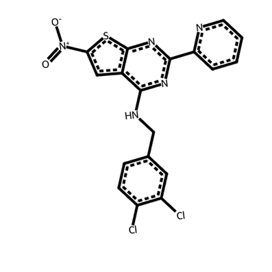 O=[N+]([O-])c1cc2c(NCc3ccc(Cl)c(Cl)c3)nc(-c3ccccn3)nc2s1